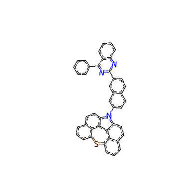 c1ccc(-c2nc(-c3ccc4ccc(-n5c6ccc7cccc8sc9cccc%10ccc5c(c%109)c6c78)cc4c3)nc3ccccc23)cc1